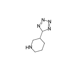 C1CNCC(C2N=NN=N2)C1